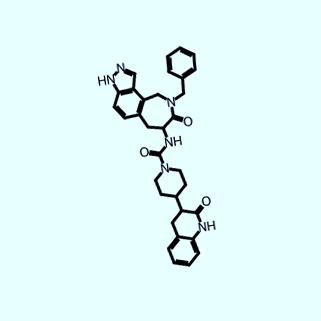 O=C1Nc2ccccc2CC1C1CCN(C(=O)NC2Cc3ccc4[nH]ncc4c3CN(Cc3ccccc3)C2=O)CC1